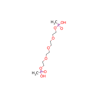 CP(=O)(O)OCCOCCOCCOCCOP(C)(=O)O